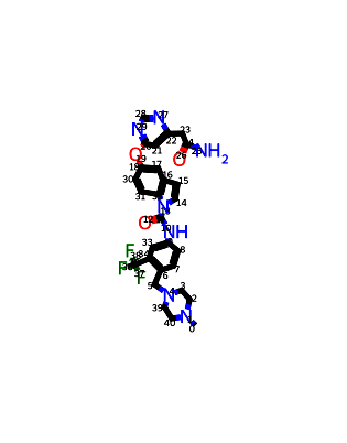 CN1CCN(Cc2ccc(NC(=O)n3ccc4cc(Oc5cc(CC(N)=O)ncn5)ccc43)cc2C(F)(F)F)CC1